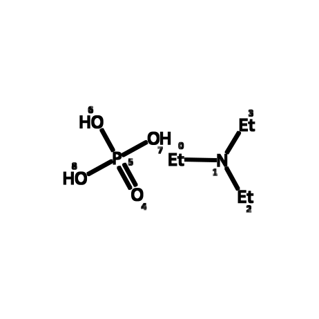 CCN(CC)CC.O=P(O)(O)O